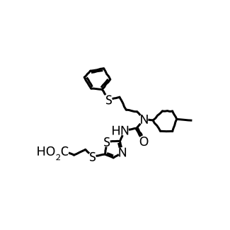 CC1CCC(N(CCCSc2ccccc2)C(=O)Nc2ncc(SCCC(=O)O)s2)CC1